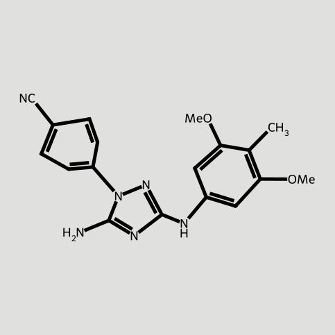 COc1cc(Nc2nc(N)n(-c3ccc(C#N)cc3)n2)cc(OC)c1C